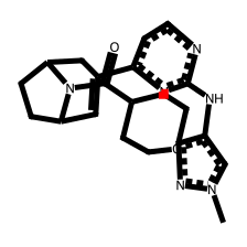 Cn1cc(Nc2nccc(C3=CC4CCC(C3)N4C(=O)C3CCOCC3)n2)cn1